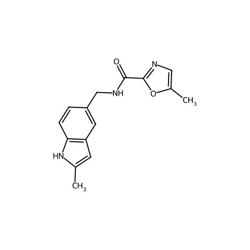 Cc1cc2cc(CNC(=O)c3ncc(C)o3)ccc2[nH]1